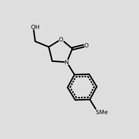 CSc1ccc(N2CC(CO)OC2=O)cc1